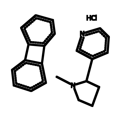 CN1CCCC1c1cccnc1.Cl.c1ccc2c(c1)-c1ccccc1-2